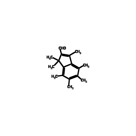 CC1=C(C=O)C(C)(C)c2c(C)c(C)c(C)c(C)c21